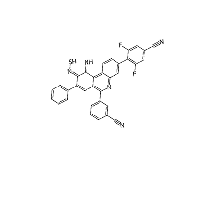 N#Cc1cccc(-c2nc3cc(-c4c(F)cc(C#N)cc4F)ccc3c3c2C=C(c2ccccc2)/C(=N/S)C3=N)c1